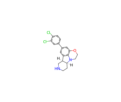 Clc1ccc(-c2cc3c4c(c2)[C@@H]2CNCC[C@@H]2N4CCO3)cc1Cl